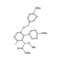 COC(=O)C(OC(C)(C)C)c1c(C)ccc(OCc2ccc(OC)cc2)c1-c1ccc(OC)cc1